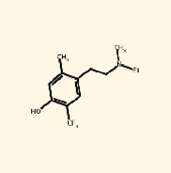 CCN(C)CCc1cc(C(F)(F)F)c(O)cc1C